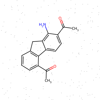 CC(=O)c1ccc2c(c1N)Cc1cccc(C(C)=O)c1-2